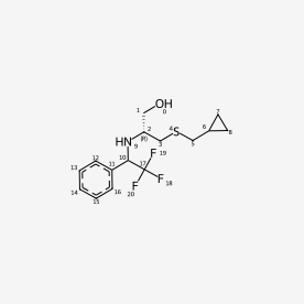 OC[C@H](CSCC1CC1)NC(c1ccccc1)C(F)(F)F